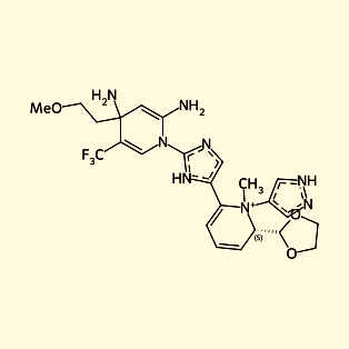 COCCC1(N)C=C(N)N(c2ncc(C3=CC=C[C@@H](C4OCCO4)[N+]3(C)c3cn[nH]c3)[nH]2)C=C1C(F)(F)F